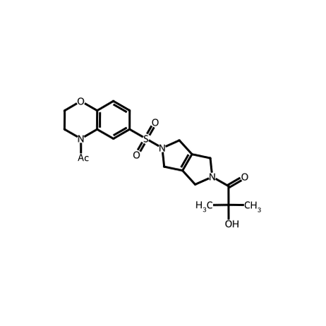 CC(=O)N1CCOc2ccc(S(=O)(=O)N3CC4=C(CN(C(=O)C(C)(C)O)C4)C3)cc21